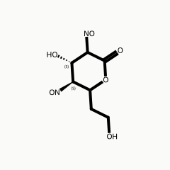 O=NC1C(=O)OC(CCO)[C@@H](N=O)[C@@H]1O